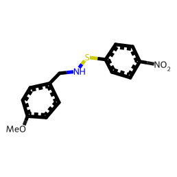 COc1ccc(CNSc2ccc([N+](=O)[O-])cc2)cc1